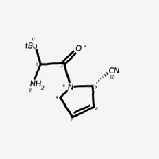 CC(C)(C)C(N)C(=O)N1CC=C[C@H]1C#N